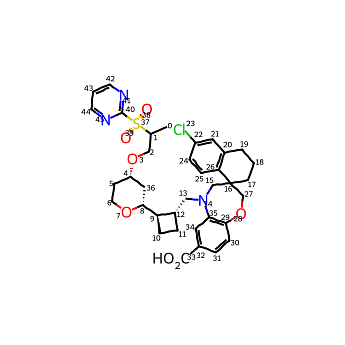 CC(CO[C@H]1CCO[C@@H]([C@@H]2CC[C@H]2CN2CC3(CCCc4cc(Cl)ccc43)COc3ccc(C(=O)O)cc32)C1)S(=O)(=O)c1ncccn1